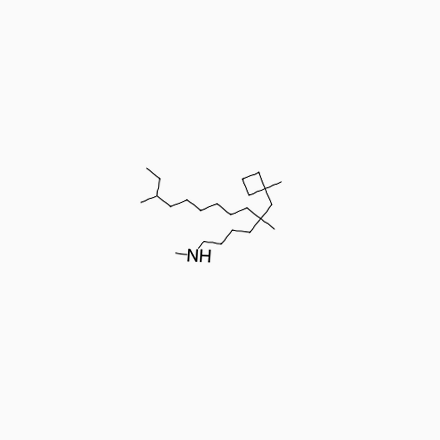 CCC(C)CCCCCCC(C)(CCCCNC)CC1(C)CCC1